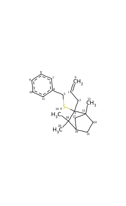 C=CCC1(SCc2ccccc2)C2(C)CCC(C2)C1(C)C